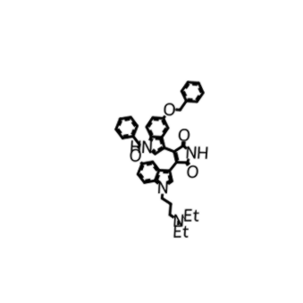 CCN(CC)CCCn1cc(C2=C(c3c[nH]c4ccc(OCc5ccccc5)cc34)C(=O)NC2=O)c2cc(OCc3ccccc3)ccc21